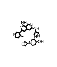 Cc1ccncc1-c1cc2cc(Nc3cnn([C@H]4CN(C5COC5)CC[C@@H]4O)c3)ncc2c(N)n1